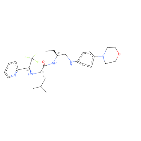 CC[C@@H](CNc1ccc(N2CCOCC2)cc1)NC(=O)[C@H](CC(C)C)N[C@@H](c1ccccn1)C(F)(F)F